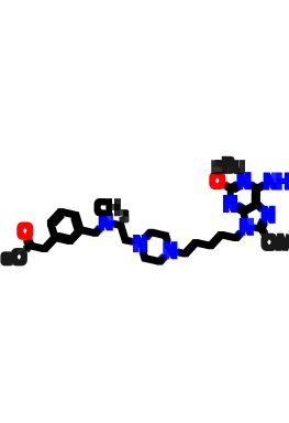 CCCCOc1nc(N)c2nc(OC)n(CCCCCN3CCN(CCN(C)Cc4cccc(CC(=O)OC)c4)CC3)c2n1